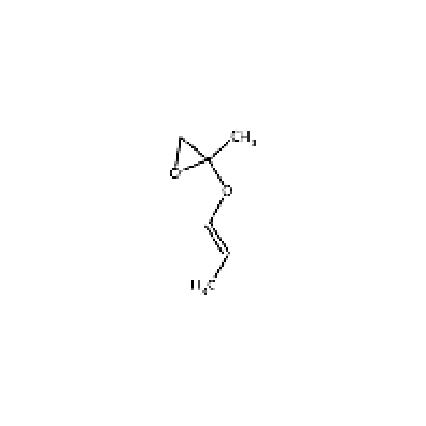 CC=COC1(C)CO1